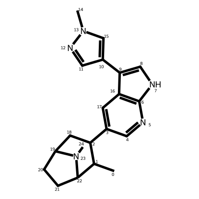 CC1C(c2cnc3[nH]cc(-c4cnn(C)c4)c3c2)CC2CCC1N2C